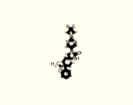 CN(C)[C@]1(c2ccccc2)CC[C@]2(CC1)CN(c1cnc(N3CC(F)(F)C3)nc1)C(=O)N2